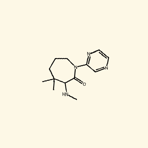 CNC1C(=O)N(c2cnccn2)CCCC1(C)C